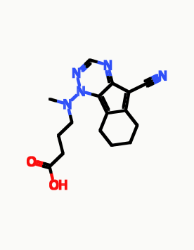 CN(CCCC(=O)O)n1ncnc2c(C#N)c3c(c1-2)CCCC3